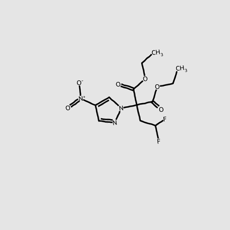 CCOC(=O)C(CC(F)F)(C(=O)OCC)n1cc([N+](=O)[O-])cn1